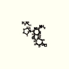 NC[C@H]1CCCN1c1nc(N)nc2c1oc1ccc(Cl)cc12